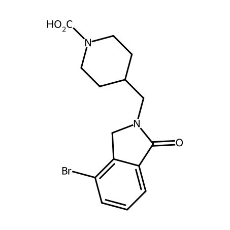 O=C(O)N1CCC(CN2Cc3c(Br)cccc3C2=O)CC1